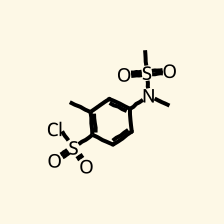 Cc1cc(N(C)S(C)(=O)=O)ccc1S(=O)(=O)Cl